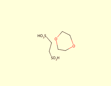 C1COCCO1.O=S(=O)(O)CCS(=O)(=O)O